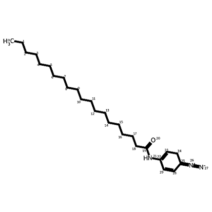 CCCCCCCCCCCCCCCCCCCC(=O)NC1=CCC(=[N+]=[N-])C=C1